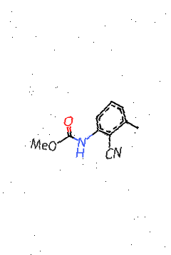 COC(=O)Nc1cccc(C)c1C#N